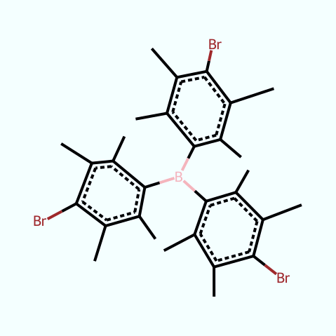 Cc1c(C)c(B(c2c(C)c(C)c(Br)c(C)c2C)c2c(C)c(C)c(Br)c(C)c2C)c(C)c(C)c1Br